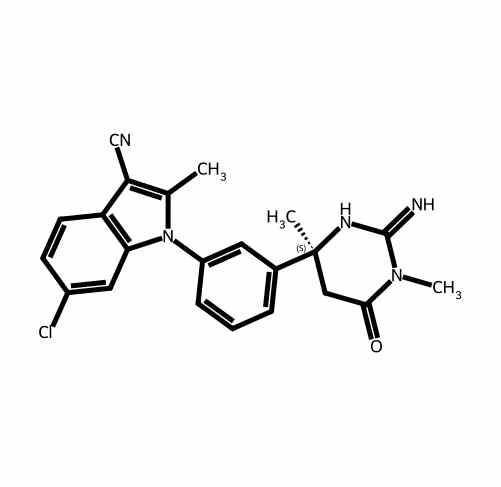 Cc1c(C#N)c2ccc(Cl)cc2n1-c1cccc([C@]2(C)CC(=O)N(C)C(=N)N2)c1